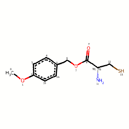 COc1ccc(COC(=O)[C@@H](N)CS)cc1